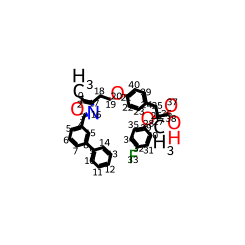 Cc1oc(-c2cccc(-c3ccccc3)c2)nc1CCOc1ccc(CC(C)(Oc2ccc(F)cc2)C(=O)O)cc1